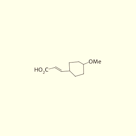 COC1CCC(C=CC(=O)O)CC1